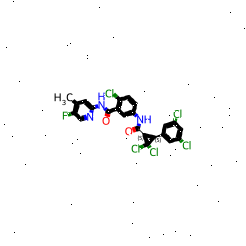 Cc1cc(NC(=O)c2cc(NC(=O)[C@@H]3[C@@H](c4cc(Cl)cc(Cl)c4)C3(Cl)Cl)ccc2Cl)ncc1F